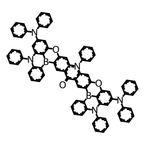 O=c1c2cc3c(cc2n(-c2ccccc2)c2cc4c(cc12)B1c2ccccc2N(c2ccccc2)c2cc(N(c5ccccc5)c5ccccc5)cc(c21)O4)Oc1cc(N(c2ccccc2)c2ccccc2)cc2c1B3c1ccccc1N2c1ccccc1